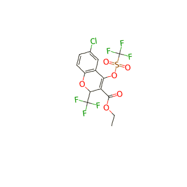 CCOC(=O)C1=C(OS(=O)(=O)C(F)(F)F)c2cc(Cl)ccc2OC1C(F)(F)F